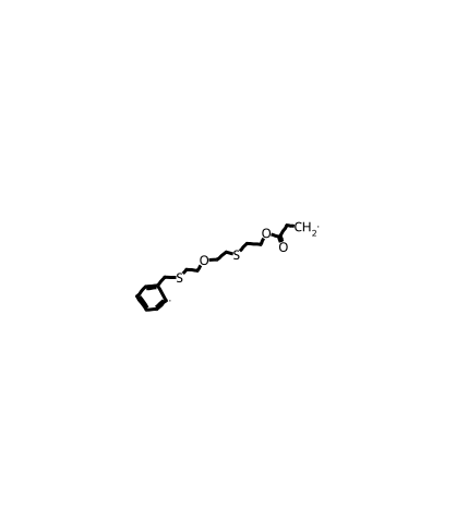 [CH2]CC(=O)OCCSCCOCCSCc1[c]cccc1